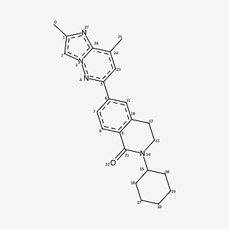 Cc1cn2nc(-c3ccc4c(c3)CCN(C3CCCCC3)C4=O)cc(C)c2n1